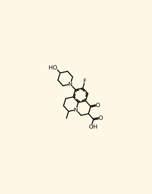 CC1CCc2c(N3CCC(O)CC3)c(F)cc3c2N1CC(C(=O)O)C3=O